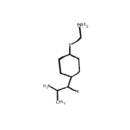 CC(N)C(F)C1CCC(SCN)CC1